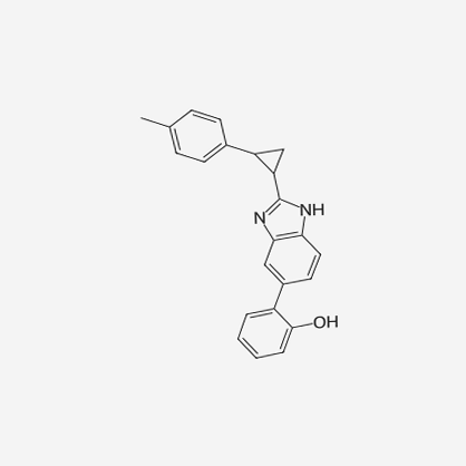 Cc1ccc(C2CC2c2nc3cc(-c4ccccc4O)ccc3[nH]2)cc1